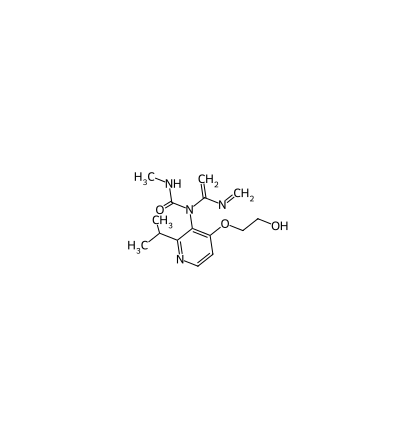 C=NC(=C)N(C(=O)NC)c1c(OCCO)ccnc1C(C)C